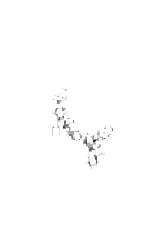 CC1COCCN1c1nc(-c2ccc(NC(=O)Nc3ccc(C(=O)CO)cc3)cc2)nc(N2CCOCC2C)n1